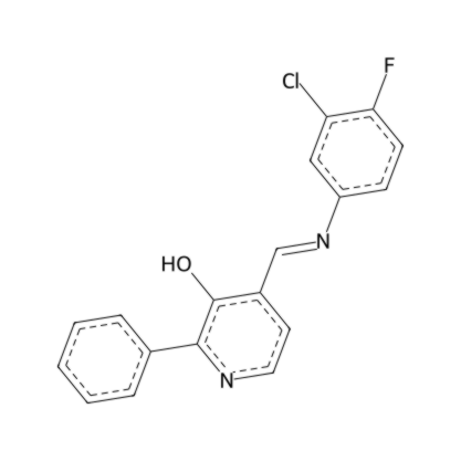 Oc1c(/C=N/c2ccc(F)c(Cl)c2)ccnc1-c1ccccc1